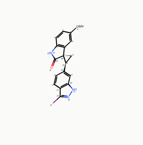 COc1ccc2c(c1)[C@]1(C[C@H]1c1ccc3c(I)n[nH]c3c1)C(=O)N2